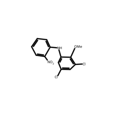 COc1c(Cl)cc(Cl)cc1Nc1ccccc1[N+](=O)[O-]